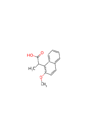 COc1ccc2ccccc2c1C(C)C(=O)O